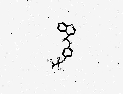 CC(C)(Oc1ccc(NC(=O)c2ccnc3ccccc23)cc1)C(=O)O